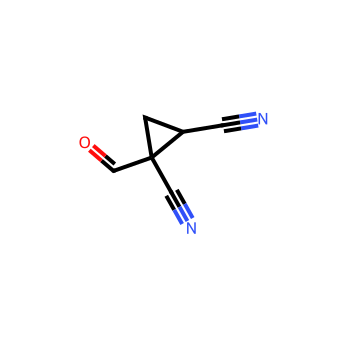 N#CC1CC1(C#N)C=O